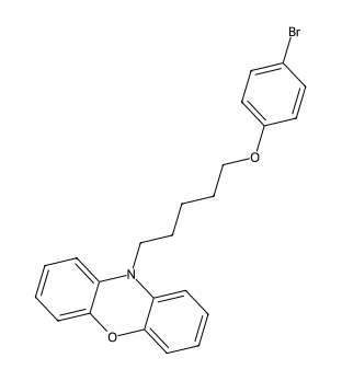 Brc1ccc(OCCCCCN2c3ccccc3Oc3ccccc32)cc1